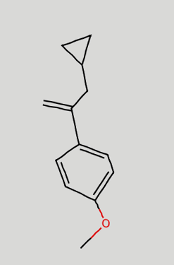 C=C(CC1CC1)c1ccc(OC)cc1